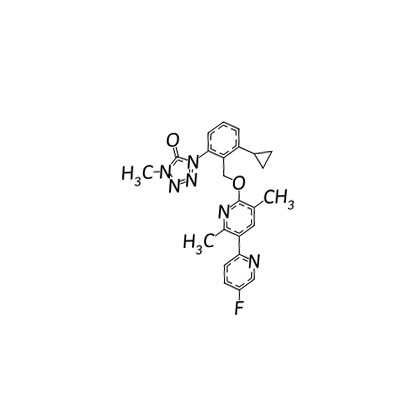 Cc1cc(-c2ccc(F)cn2)c(C)nc1OCc1c(C2CC2)cccc1-n1nnn(C)c1=O